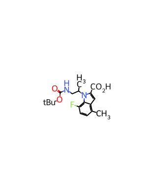 Cc1ccc(F)c2c1cc(C(=O)O)n2C(C)CNC(=O)OC(C)(C)C